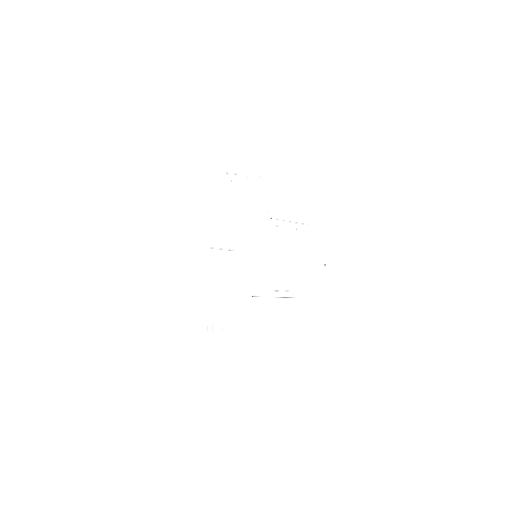 CCCCc1c(OC)cccc1C(C)(C)C